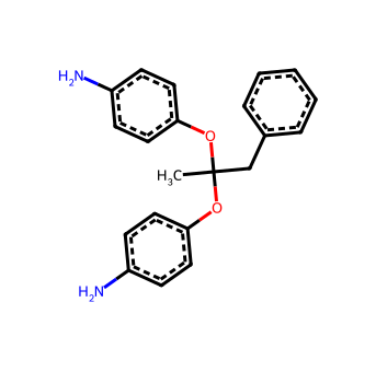 CC(Cc1ccccc1)(Oc1ccc(N)cc1)Oc1ccc(N)cc1